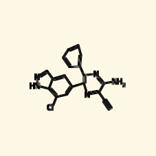 C#Cc1nc(-c2cc(Cl)c3[nH]ncc3c2)c(-c2ccccc2)nc1N